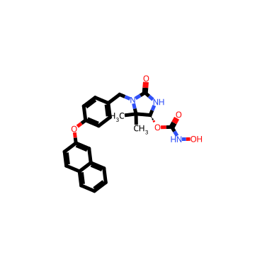 CC1(C)[C@@H](OC(=O)NO)NC(=O)N1Cc1ccc(Oc2ccc3ccccc3c2)cc1